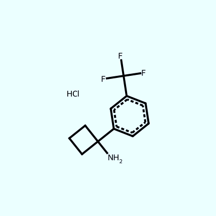 Cl.NC1(c2cccc(C(F)(F)F)c2)CCC1